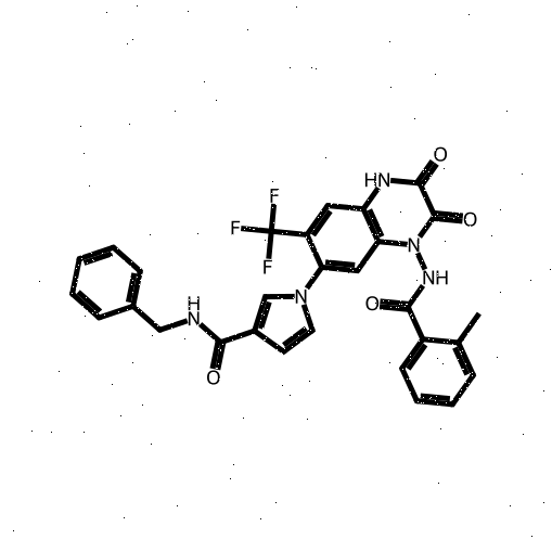 Cc1ccccc1C(=O)Nn1c(=O)c(=O)[nH]c2cc(C(F)(F)F)c(-n3ccc(C(=O)NCc4ccccc4)c3)cc21